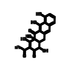 CCCC(=O)C1=C(O)C2(O)C(=O)c3c(cc4cccc(O)c4c3O)CC2C(O)C1=O